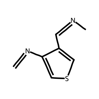 C=Nc1cscc1/C=N\C